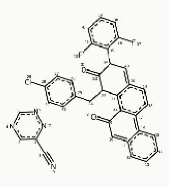 N#Cc1cncnn1.O=C1C=c2ccccc2=c2ccc3c(c21)C(Cc1ccc(Cl)cc1)C(=O)C(c1c(F)cccc1F)C=3